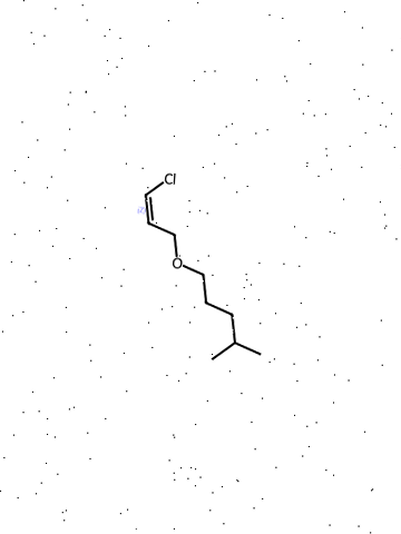 CC(C)CCCOC/C=C\Cl